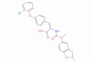 CC1Cc2cc(C(C)C(=O)N/C(=C/c3ccc(Oc4ccccc4Br)cc3)C(=O)O)ccc2O1